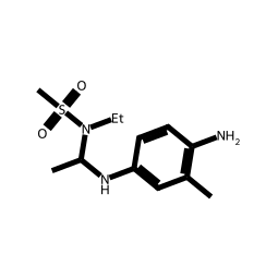 CCN(C(C)Nc1ccc(N)c(C)c1)S(C)(=O)=O